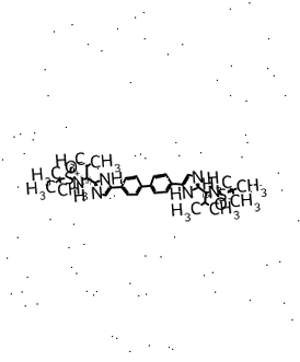 CC(C)[C@H](N[S+]([O-])C(C)(C)C)c1ncc(-c2ccc(-c3ccc(-c4cnc([C@@H](N[S+]([O-])C(C)(C)C)C(C)C)[nH]4)cc3)cc2)[nH]1